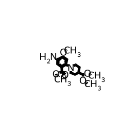 COC(=O)c1cc(N)c(OC)cc1N1CCC(C(OC)OC)CC1